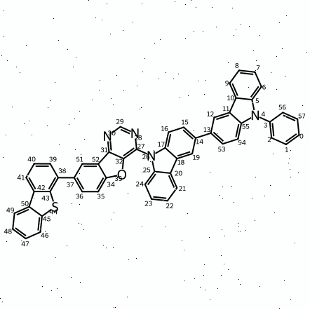 c1ccc(-n2c3ccccc3c3cc(-c4ccc5c(c4)c4ccccc4n5-c4ncnc5c4oc4ccc(-c6cccc7c6sc6ccccc67)cc45)ccc32)cc1